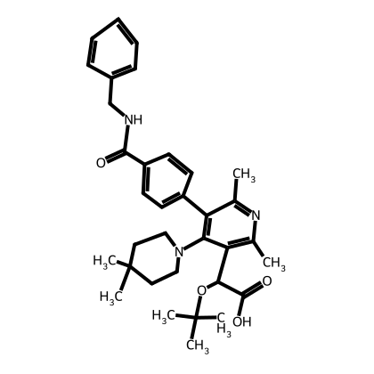 Cc1nc(C)c(C(OC(C)(C)C)C(=O)O)c(N2CCC(C)(C)CC2)c1-c1ccc(C(=O)NCc2ccccc2)cc1